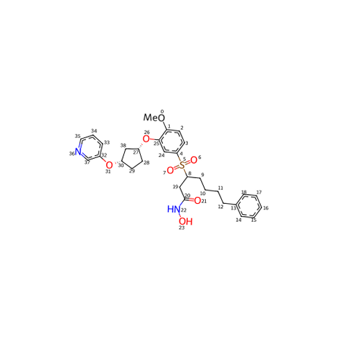 COc1ccc(S(=O)(=O)C(CCCCc2ccccc2)CC(=O)NO)cc1O[C@@H]1CC[C@H](Oc2cccnc2)C1